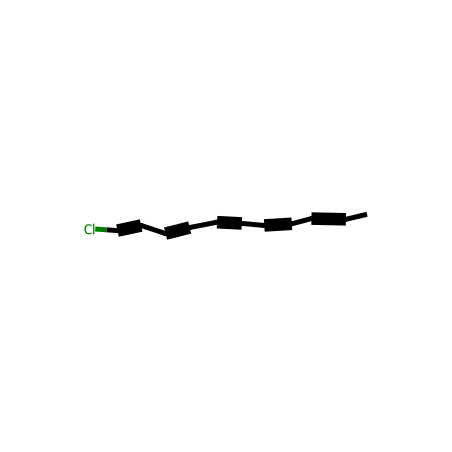 CC#CC#CC#CC#CC#CCl